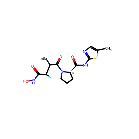 CCCCC(C(=O)N1CCC[C@H]1C(=O)Nc1ncc(C)s1)C(F)C(=O)NO